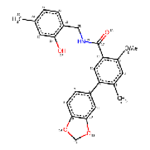 COc1cc(C)c(-c2ccc3c(c2)OCO3)cc1C(=O)NCc1ccc(C)cc1O